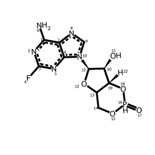 Nc1nc(F)nc2c1ncn2[C@@H]1OC2CO[PH](=O)O[C@H]2[C@@H]1O